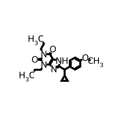 CCCn1c(=O)c2[nH]c(C(c3ccc(OC)cc3)C3CC3)nc2n(CCC)c1=O